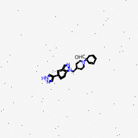 O=CC1(N2CCC(Cn3ncc4cc(-c5cn[nH]c5)ccc43)CC2)C=CC=CC1